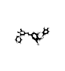 C=C1N=C(CCc2cc(F)c(Oc3ccc(C)c(C)c3)c(F)c2)C=C(N2CCOCC2)N1C